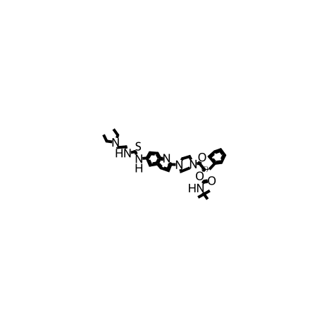 CCN(CC)CCNC(=S)Nc1ccc2nc(N3CCN(C(=O)[C@H](Cc4ccccc4)OC(=O)NC(C)(C)C)CC3)ccc2c1